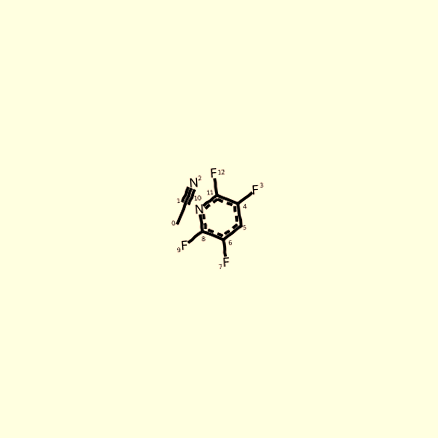 CC#N.Fc1cc(F)c(F)nc1F